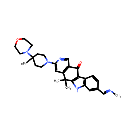 CCCC1(N2CCOCC2)CCN(c2cc3c(cn2)C(=O)c2c([nH]c4cc(/C=N/C)ccc24)C3(C)C)CC1